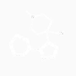 CN1CCC(C#N)(c2ccsc2-c2ccccc2)CC1